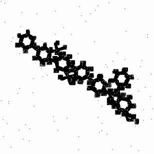 CC1(C)c2cc(-c3ccccc3)ccc2-c2cc3c(cc21)-c1ccc(-c2ccc(-c4nc5cc(C(F)(F)F)ccc5n4-c4ccccc4)cc2)cc1C3(C)C